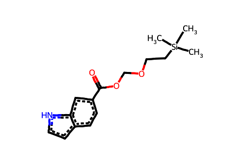 C[Si](C)(C)CCOCOC(=O)c1ccc2cc[nH]c2c1